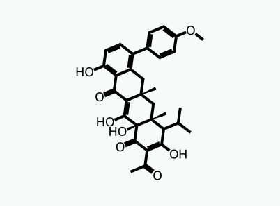 COc1ccc(-c2ccc(O)c3c2C[C@]2(C)C[C@]4(C)C(C(C)C)C(O)=C(C(C)=O)C(=O)[C@]4(O)C(O)=C2C3=O)cc1